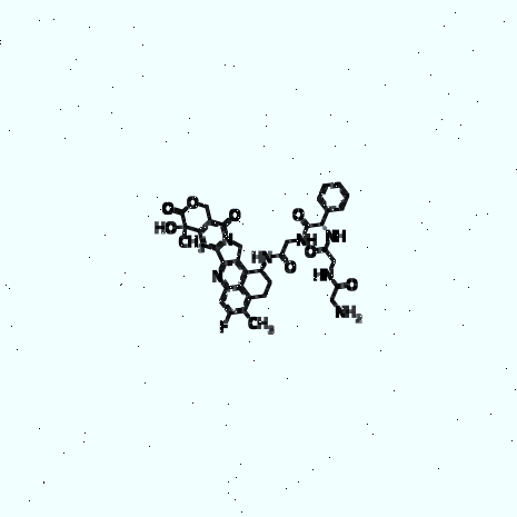 Cc1c(F)cc2nc3c(c4c2c1CC[C@@H]4NC(=O)CNC(=O)[C@@H](NC(=O)CNC(=O)CN)c1ccccc1)Cn1c-3cc2c(c1=O)COC(=O)[C@@]2(C)O